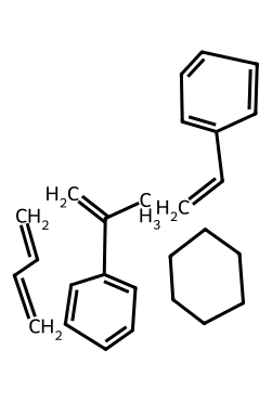 C1CCCCC1.C=C(C)c1ccccc1.C=CC=C.C=Cc1ccccc1